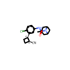 CC1CC2CC(C1)N2C(=O)Nc1ccc(Cl)c([C@@H]2CC[C@@H]2C#N)c1